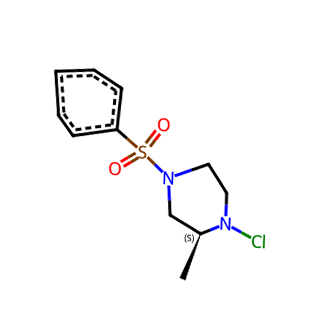 C[C@H]1CN(S(=O)(=O)c2ccccc2)CCN1Cl